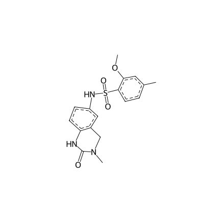 COc1cc(C)ccc1S(=O)(=O)Nc1ccc2c(c1)CN(C)C(=O)N2